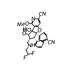 COc1nc(C#N)cc2c1[C@]1(O)[C@H](O)[C@H](CNCC(F)F)[C@@H](c3ccccc3)[C@]1(c1ccc(C#N)cc1)O2